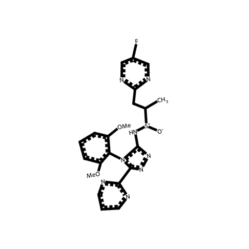 COc1cccc(OC)c1-n1c(N[S+]([O-])C(C)Cc2ncc(F)cn2)nnc1-c1ncccn1